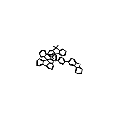 CC1(C)c2ccccc2-c2c(N(c3ccc(-c4ccc5sc6ccccc6c5c4)cc3)c3cccc4c3C3(c5ccccc5-c5ccccc53)c3ccccc3-4)cccc21